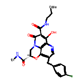 CCNC(=O)[C@@H]1Cn2c(=O)c(C(=O)NCCOC)c(O)c3ncc(Cc4ccc(F)cc4)c(c32)O1